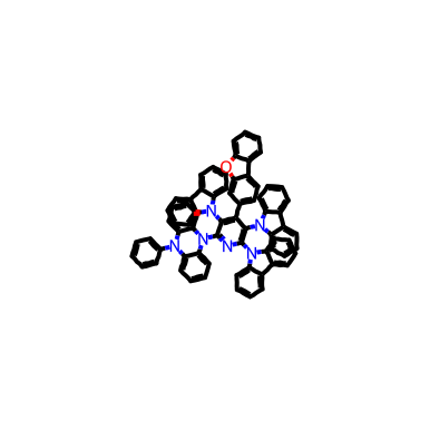 c1ccc(N2c3ccccc3N(c3nc(-n4c5ccccc5c5ccccc54)c(-n4c5ccccc5c5ccccc54)c(-c4ccc5c(c4)oc4ccccc45)c3-n3c4ccccc4c4ccccc43)c3ccccc32)cc1